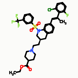 CCOC(=O)C1CCN(CC[C@@H]2Cc3ccc(/C=C(\C)c4c(F)cccc4Cl)cc3N(S(=O)(=O)c3cccc(C(F)(F)F)c3)C2)CC1